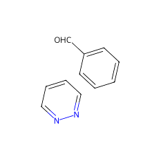 O=Cc1ccccc1.c1ccnnc1